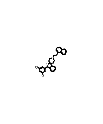 Clc1cc(Cl)cc(C2OC3(CCN(CCc4cccc5ccccc45)CC3)c3ccccc32)c1